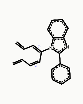 C=C/C=C\C(=C/C=C)n1c(-c2ccccc2)nc2ccccc21